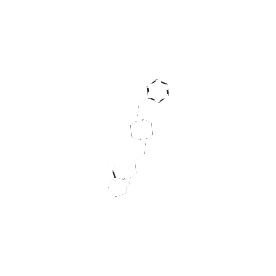 O=C1CCCN1CCCN1CCN(Cc2ccccc2)CC1